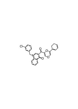 O=C(C1=COC=C(C2=CC=CCC2)O1)c1cn(Cc2cccc(Cl)c2)c2ccccc2c1=O